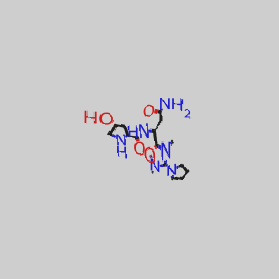 CN1OC([C@H](CC(N)=O)NC(=O)[C@@H]2C[C@H](O)CN2)N(C)C1N1CCCC1